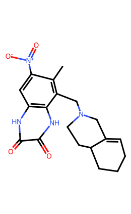 Cc1c([N+](=O)[O-])cc2[nH]c(=O)c(=O)[nH]c2c1CN1CCC2CCCC=C2C1